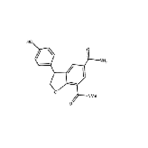 CNC(=O)c1cc(C(N)=O)cc2c1OCC2c1ccc(O)cc1